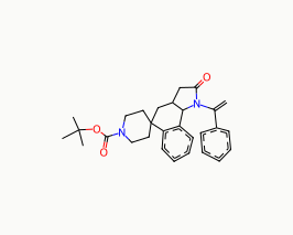 C=C(c1ccccc1)N1C(=O)CC2CC3(CCN(C(=O)OC(C)(C)C)CC3)c3ccccc3C21